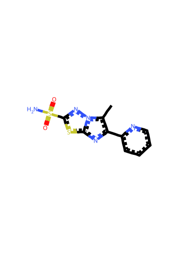 Cc1c(-c2ccccn2)nc2sc(S(N)(=O)=O)nn12